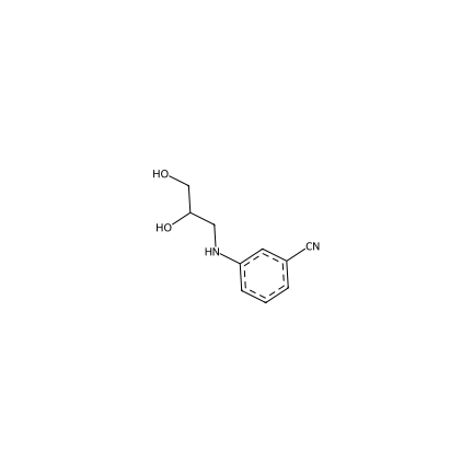 N#Cc1cccc(NCC(O)CO)c1